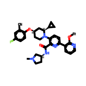 CCOc1ncccc1-c1ccc(N2CC[C@H](Oc3ccc(F)cc3C#N)C[C@@H]2C2CC2)c(C(=O)N[C@@H]2CCN(C)C2)n1